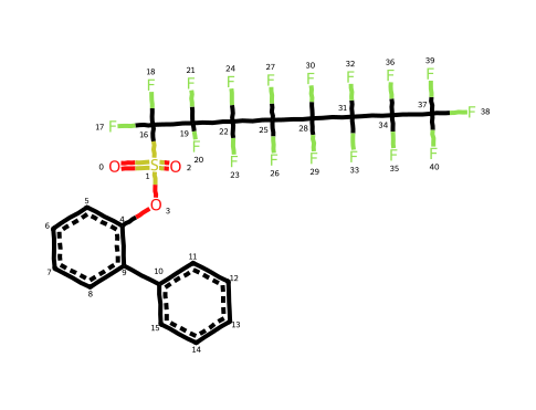 O=S(=O)(Oc1ccccc1-c1ccccc1)C(F)(F)C(F)(F)C(F)(F)C(F)(F)C(F)(F)C(F)(F)C(F)(F)C(F)(F)F